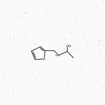 CC(O)NCc1ccco1